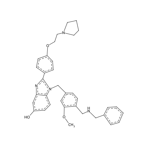 COc1cc(Cn2c(-c3ccc(OCCN4CCCC4)cc3)nc3cc(O)ccc32)ccc1CNCc1ccccc1